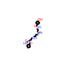 CC(=O)N(CCCCNCCCn1c(=O)[nH]c2ccccc2c1=O)CCCNC(=O)c1ccc(O)cc1